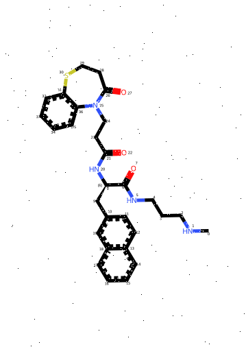 CNCCCNC(=O)[C@@H](Cc1ccc2ccccc2c1)NC(=O)CCN1C(=O)CCSc2ccccc21